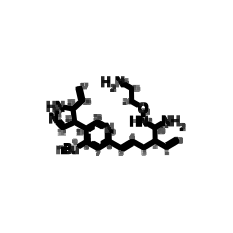 C=CC(C/C=C/c1cc(CCCC)c(C2C=NNC2C=C)cn1)C(N)NOCCN